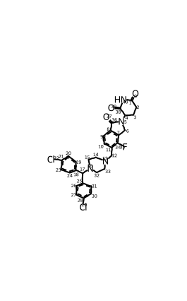 O=C1CCC(N2Cc3c(ccc(CN4CCN(C(c5ccc(Cl)cc5)c5ccc(Cl)cc5)CC4)c3F)C2=O)C(=O)N1